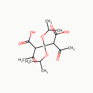 CC(=O)[CH](C(=O)O)[Ti]([O]C(C)C)([O]C(C)C)[CH](C(C)=O)C(=O)O